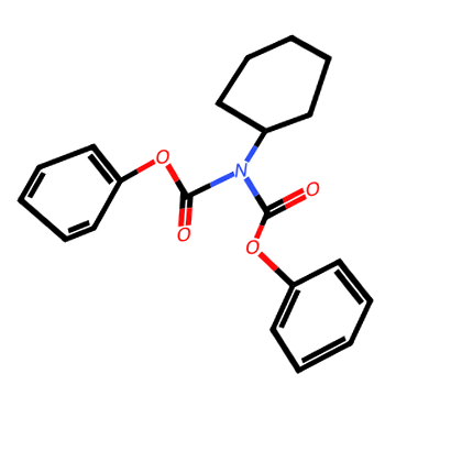 O=C(Oc1ccccc1)N(C(=O)Oc1ccccc1)C1CCCCC1